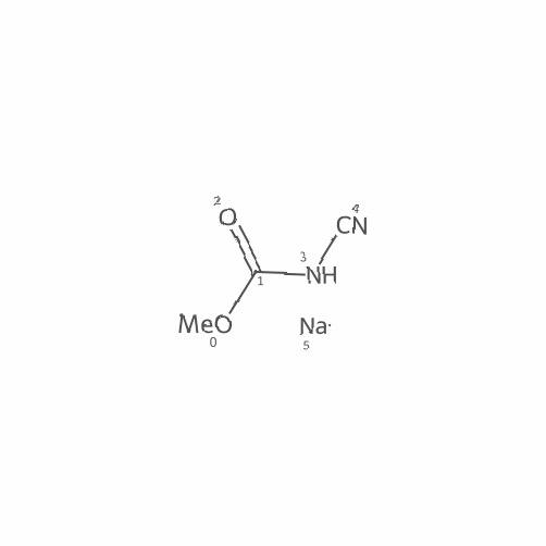 COC(=O)NC#N.[Na]